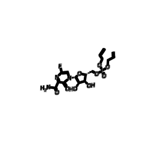 C=CCOP(=O)(OCC=C)OC[C@H]1O[C@@H](n2cc(F)nc(C(N)=O)c2=O)[C@H](O)[C@@H]1O